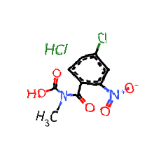 CN(C(=O)O)C(=O)c1ccc(Cl)cc1[N+](=O)[O-].Cl